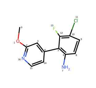 COc1cc(-c2c(N)ccc(Cl)c2F)ccn1